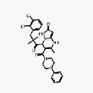 CC1=C(C(=O)N2CCN(c3ccccc3)CC2)C(C(=O)C(C)(C)Cc2cccc(Cl)c2Cl)n2[nH]c(=O)cc2N1